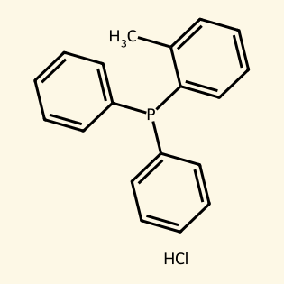 Cc1ccccc1P(c1ccccc1)c1ccccc1.Cl